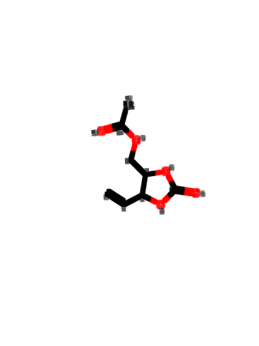 C=CC1OC(=O)OC1COC(=O)CC